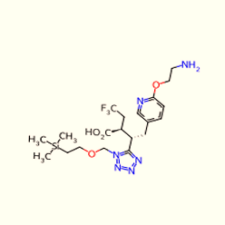 C[Si](C)(C)CCOCn1nnnc1[C@@H](Cc1ccc(OCCN)nc1)[C@H](CC(F)(F)F)C(=O)O